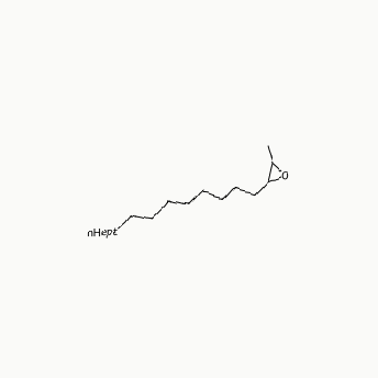 CCCCCCCCCCCCCCCC1OC1C